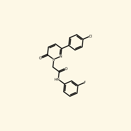 O=C(Cn1nc(-c2ccc(Cl)cc2)ccc1=O)Nc1cccc(F)c1